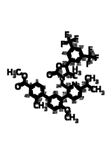 COC(=O)c1ccc(-c2ccc(OC)c(-c3ccc(C(C)C)nc3CN3C(=O)OC(c4cc(C(F)(F)F)cc(C(F)(F)F)c4)C3C)c2)c(C)c1